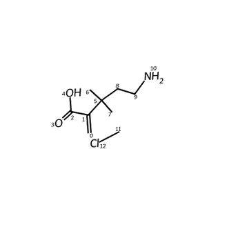 C=C(C(=O)O)C(C)(C)CCN.CCl